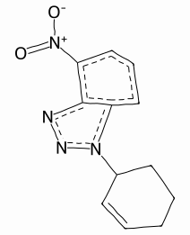 O=[N+]([O-])c1cccc2c1nnn2C1C=CCCC1